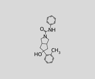 Cc1ccccc1C1(O)CC2CN(C(=O)Nc3ccccc3)CC2C1